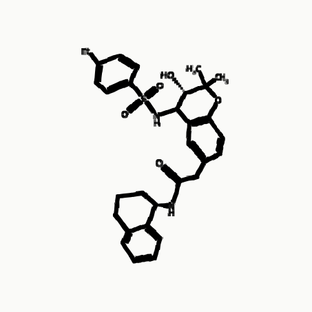 CCc1ccc(S(=O)(=O)NC2c3cc(CC(=O)N[C@@H]4CCCc5ccccc54)ccc3OC(C)(C)[C@H]2O)cc1